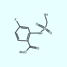 COC(=O)c1ccc(F)cc1NS(=O)(=O)CS